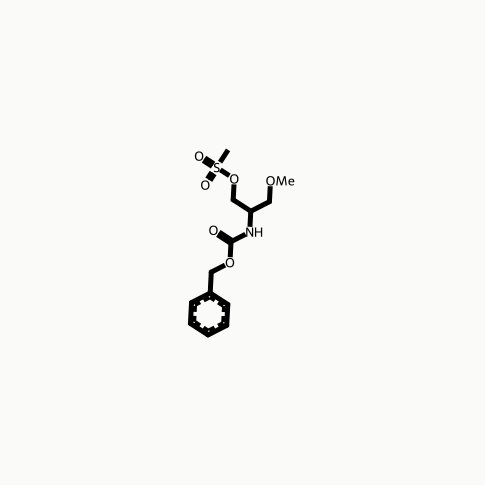 COCC(COS(C)(=O)=O)NC(=O)OCc1ccccc1